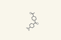 CC(=O)C1CCN(C(=O)C2CCC(N(C)C)CC2)CC1